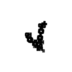 CC(C)(C)OC(=O)N1CCC(c2ccc(Nc3nc(N4CCC(CO)CC4)cnc3C(N)=O)cc2)CC1